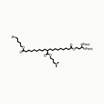 CCCCCC(CCCCC)CCOC(=O)CCCCCCCCC(CCCCCCCCC(=O)OCCCCC(C)C)C(=O)OCCCN(C)C